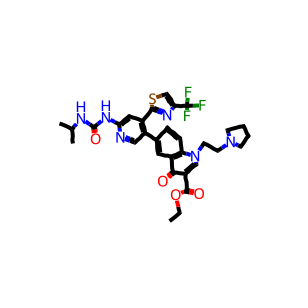 CCOC(=O)c1cn(CCN2CCCC2)c2ccc(-c3cnc(NC(=O)NC(C)C)cc3-c3nc(C(F)(F)F)cs3)cc2c1=O